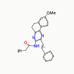 COc1ccc2c(c1)CCc1nc(NC(=O)CC(C)C)c(/C=C/c3ccccc3)nc1-2